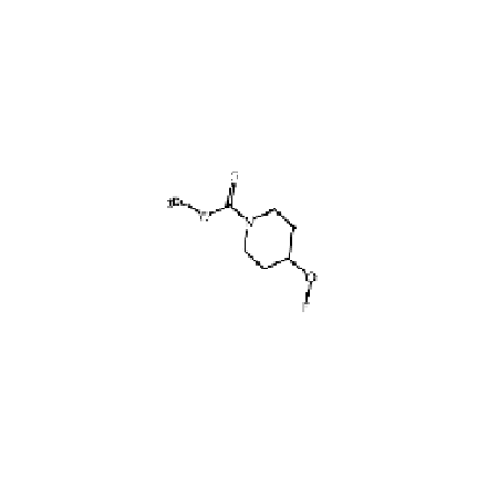 CC(C)(C)OC(=O)N1CCC(OF)CC1